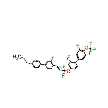 CCCc1ccc(-c2ccc(/C=C/C(F)(F)Oc3ccc(-c4ccc(OC(F)(F)F)c(F)c4)c(F)c3)c(F)c2)cc1